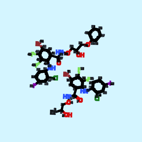 CCC(O)CONC(=O)c1cc(Br)c(F)c(F)c1Nc1ccc(I)cc1Cl.O=C(NOCC(O)COc1ccccc1)c1cc(Br)c(F)c(F)c1Nc1ccc(I)cc1Cl